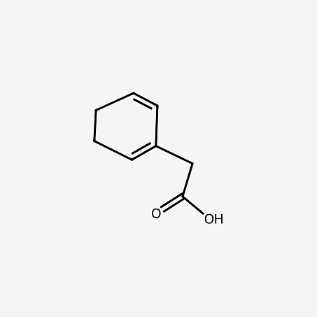 O=C(O)CC1=CCCC=C1